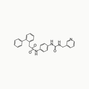 O=C(NCc1cccnc1)Nc1ccc(NS(=O)(=O)Cc2ccccc2-c2ccccc2)cc1